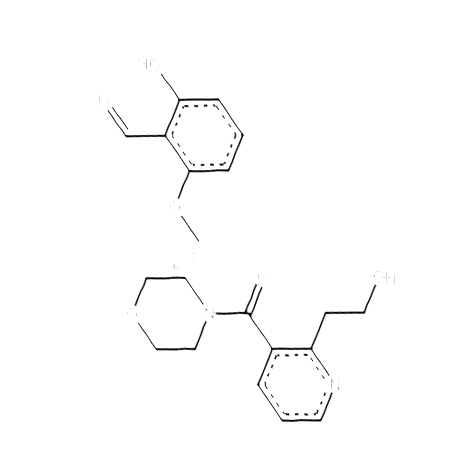 O=Cc1c(O)cccc1OC[C@H]1COCCN1C(=O)c1cccnc1CCO